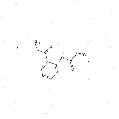 CCCCCC(=O)Oc1ccccc1C(=O)CN